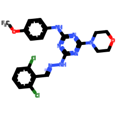 FC(F)(F)Oc1ccc(Nc2nc(N/N=C/c3c(Cl)cccc3Cl)nc(N3CCOCC3)n2)cc1